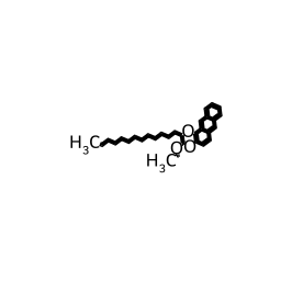 CCCCCCCCCCCCCC(Oc1cccc2cc3ccccc3cc12)C(=O)OCC